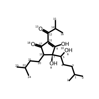 CC(C)CCC(O)[C@@]1(O)C(O)=C(C(=O)C(C)C)C(=O)C1CCC(C)C